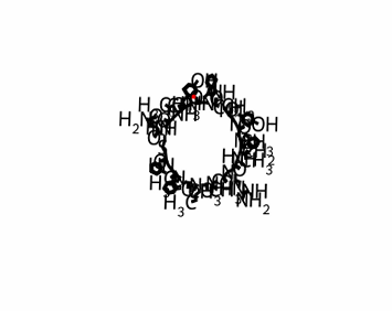 C=C(C)[C@@H]1NC(=O)[C@H](CCCNC(=N)N)NC(=O)CN(C)C(=O)[C@H](CCCC)N(C)C(=O)[C@H](Cc2ccccc2)N(C)C(=O)[C@H](Cc2ccccc2)NC(=O)CSC[C@@H](C(=O)NCC(N)=O)NC(=O)[C@H](CC(C)C)NC(=O)[C@H](Cc2ccc(O)cc2)NC(=O)[C@H](Cc2c[nH]c3ccccc23)NC(=O)CN(C)C(=O)[C@H](Cc2ccc(O)cc2)NC(=O)[C@H](Cc2ccccc2)N(C)C1=O